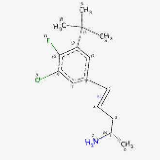 C[C@H](N)C/C=C/c1cc(Cl)c(F)c(C(C)(C)C)c1